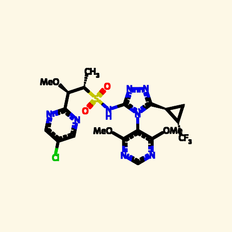 COc1ncnc(OC)c1-n1c(NS(=O)(=O)[C@@H](C)[C@H](OC)c2ncc(Cl)cn2)nnc1[C@H]1C[C@@H]1C(F)(F)F